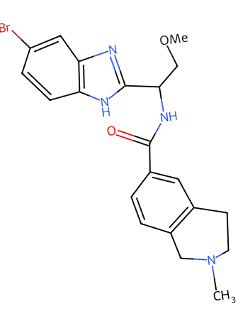 COCC(NC(=O)c1ccc2c(c1)CCN(C)C2)c1nc2cc(Br)ccc2[nH]1